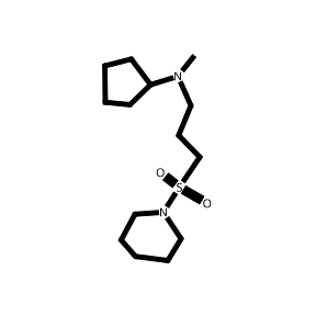 CN(CCCS(=O)(=O)N1CC[CH]CC1)C1CCCC1